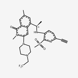 C#Cc1ccc(N[C@H](C)c2cc(C)cc3c(=O)n(C)c(N4CCN(CC(F)(F)F)CC4)cc23)c(S(C)(=O)=O)n1